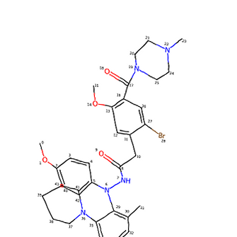 COc1ccc(N(NC(=O)Cc2cc(OC)c(C(=O)N3CCN(C)CC3)cc2Br)c2c(C)cccc2N2CCCCC2)cc1